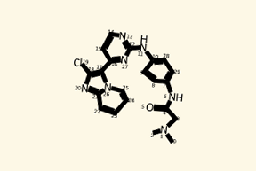 CN(C)CC(=O)Nc1ccc(Nc2nccc(-c3c(Cl)nc4ccccn34)n2)cc1